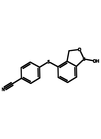 N#Cc1ccc(Sc2cccc3c2COB3O)cc1